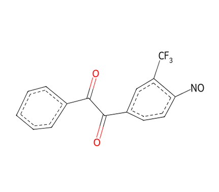 O=Nc1ccc(C(=O)C(=O)c2ccccc2)cc1C(F)(F)F